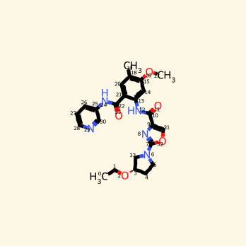 CCO[C@H]1CCN(c2nc(C(=O)Nc3cc(OC)c(C)cc3C(=O)Nc3cccnc3)co2)C1